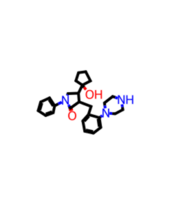 O=C1C(Cc2ccccc2N2CCNCC2)C(C2(O)CCCC2)CN1c1ccccc1